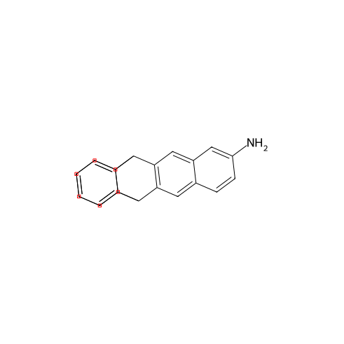 Nc1ccc2cc3c(cc2c1)C1c2ccccc2C3c2ccccc21